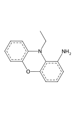 CCN1c2ccccc2Oc2cccc(N)c21